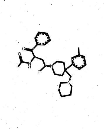 CC(=O)NC(CC(F)N1CCC(CN2CCCCC2)(c2cccc(C)c2)CC1)C(=O)c1ccccc1